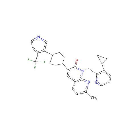 Cc1ccc2cc(C3CCC(c4cnccc4C(F)(F)F)CC3)c(=O)n(Cc3ncccc3C3CC3)c2n1